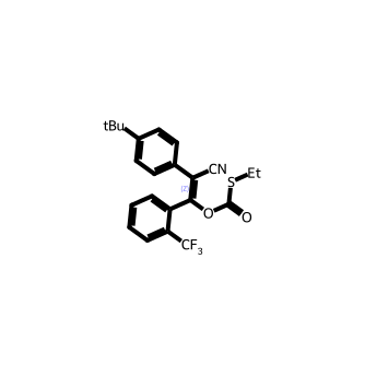 CCSC(=O)O/C(=C(\C#N)c1ccc(C(C)(C)C)cc1)c1ccccc1C(F)(F)F